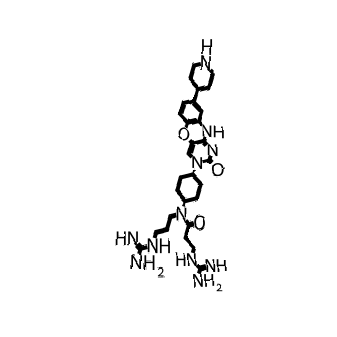 N=C(N)NCCCN(C(=O)CCNC(=N)N)[C@H]1CC[C@H](n2cc3c(nc2=O)Nc2cc(C4CCNCC4)ccc2O3)CC1